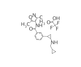 Cc1noc(C)c1NC(=O)c1cccc(C2CC2NCC2CC2)c1.O=C(O)C(F)(F)F